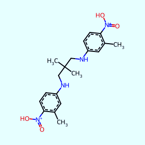 Cc1cc(NCC(C)(C)CNc2ccc([N+](=O)O)c(C)c2)ccc1[N+](=O)O